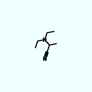 CCN(CC)C(C)C#N